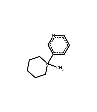 C[N+]1(c2cc[c]nc2)CCCCC1